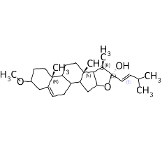 COC1CC[C@@]2(C)C(=CCC3C4CC5O[C@](O)(/C=C/C(C)C)[C@H](C)C5[C@@]4(C)CCC32)C1